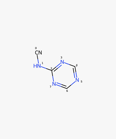 N#CNc1n[c]ncn1